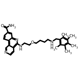 Cc1c(C)c(C)c(CNCCCCOCCNc2nc3cc(C(N)=O)ccc3c3cnccc23)c(C)c1C